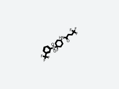 O=C(CCC(F)(F)F)N[C@H]1CC[C@](F)(S(=O)(=O)c2cccc(C(F)(F)F)c2)CC1